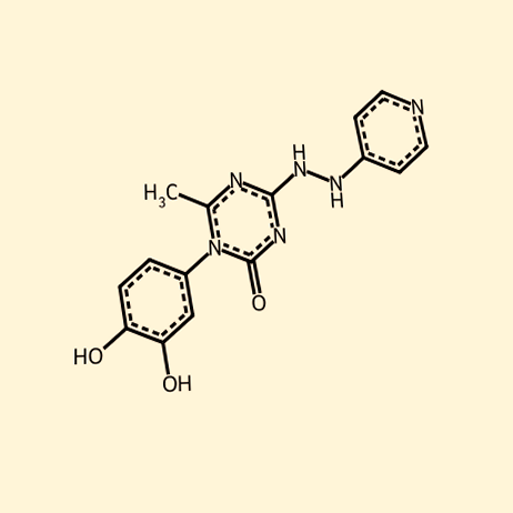 Cc1nc(NNc2ccncc2)nc(=O)n1-c1ccc(O)c(O)c1